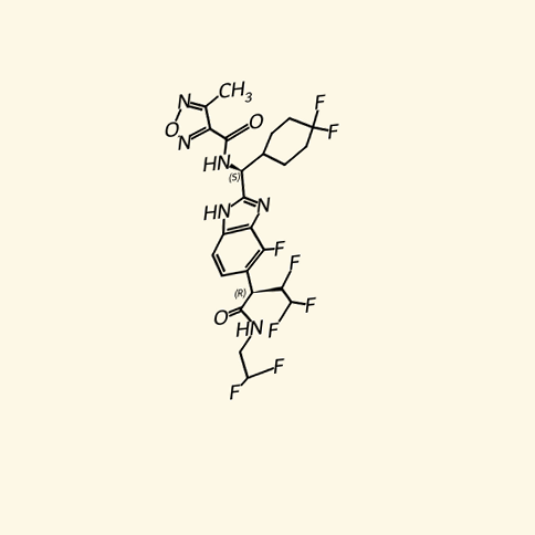 Cc1nonc1C(=O)N[C@H](c1nc2c(F)c([C@H](C(=O)NCC(F)F)C(F)C(F)F)ccc2[nH]1)C1CCC(F)(F)CC1